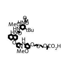 COc1cc(Nc2cc(Oc3ccc(NC(=O)Nc4cc(C(C)(C)C)cc(NS(C)(=O)=O)c4OC)c4ccccc34)ccn2)cc(OCCOCCO[C@@H](C)C(=O)O)c1